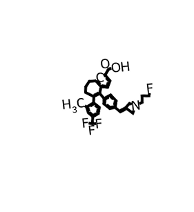 Cc1cc(C(F)(F)F)ccc1C1=C(c2ccc(C=C3CN(CCCF)C3)cc2)c2ccc(C(=O)O)cc2CCC1